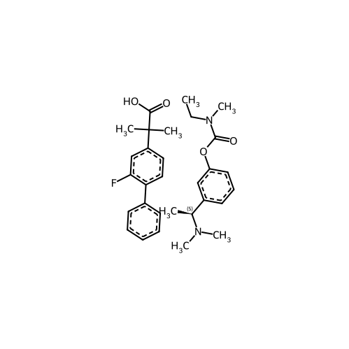 CC(C)(C(=O)O)c1ccc(-c2ccccc2)c(F)c1.CCN(C)C(=O)Oc1cccc([C@H](C)N(C)C)c1